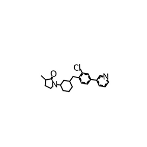 CC1CCN(C2CCCC(Cc3ccc(-c4cccnc4)cc3Cl)C2)C1=O